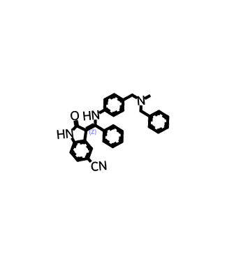 CN(Cc1ccccc1)Cc1ccc(N/C(=C2\C(=O)Nc3ccc(C#N)cc32)c2ccccc2)cc1